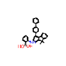 CC1(C)c2ccccc2-c2c(-c3ccc(-c4ccccc4)cc3)cc(Nc3ccccc3B(O)O)cc21